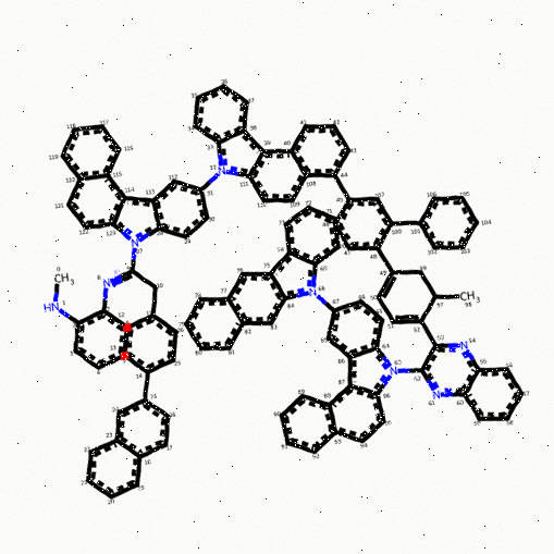 CNc1ccccc1/N=C(\Cc1ccc(-c2ccc3ccccc3c2)cc1)n1c2ccc(-n3c4ccccc4c4c5cccc(-c6ccc(C7=CC=C(c8nc9ccccc9nc8-n8c9ccc(-n%10c%11ccccc%11c%11cc%12ccccc%12cc%11%10)cc9c9c%10ccccc%10ccc98)C(C)C7)c(-c7ccccc7)c6)c5ccc43)cc2c2c3ccccc3ccc21